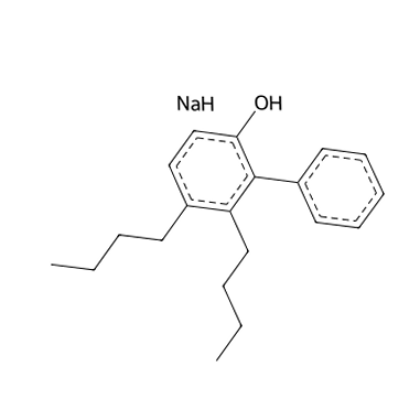 CCCCc1ccc(O)c(-c2ccccc2)c1CCCC.[NaH]